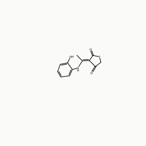 CC(Nc1ccccc1O)=C1C(=O)CSC1=O